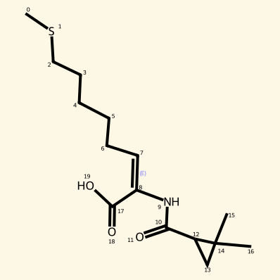 CSCCCCC/C=C(/NC(=O)C1CC1(C)C)C(=O)O